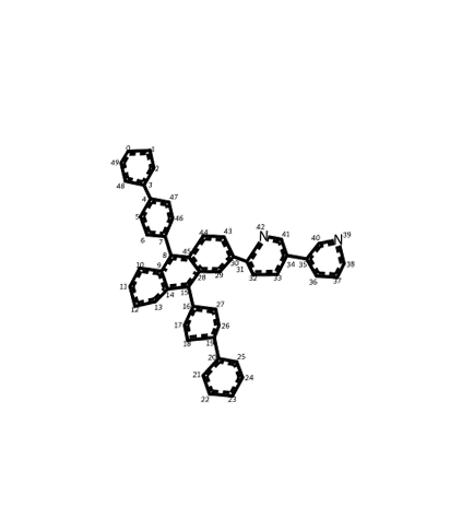 c1ccc(-c2ccc(-c3c4ccccc4c(-c4ccc(-c5ccccc5)cc4)c4cc(-c5ccc(-c6cccnc6)cn5)ccc34)cc2)cc1